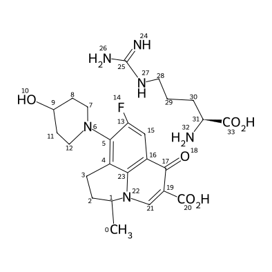 CC1CCc2c(N3CCC(O)CC3)c(F)cc3c(=O)c(C(=O)O)cn1c23.N=C(N)NCCC[C@H](N)C(=O)O